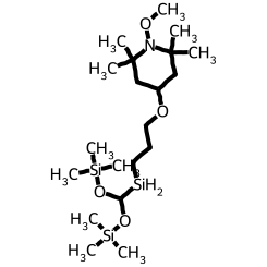 CON1C(C)(C)CC(OCCC[SiH2]C(O[Si](C)(C)C)O[Si](C)(C)C)CC1(C)C